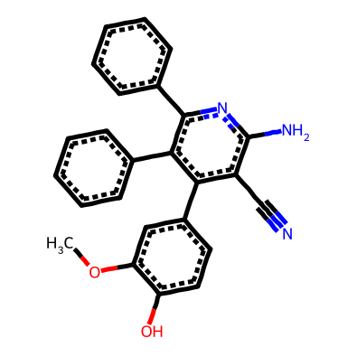 COc1cc(-c2c(C#N)c(N)nc(-c3ccccc3)c2-c2ccccc2)ccc1O